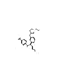 CCC=C1N=c2ccc(CC3CCN(CCC)C3=O)cc2=C1C(C)c1ccc(C(=O)OC)cc1OC